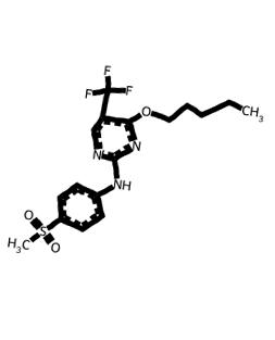 CCCCCOc1nc(Nc2ccc(S(C)(=O)=O)cc2)ncc1C(F)(F)F